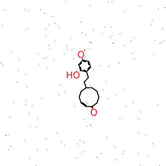 COc1ccc(CCC2CC/C=C\C(=O)CCCC2)c(O)c1